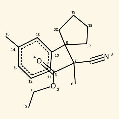 CCOC(=O)C(C)(C#N)C1(c2cccc(C)c2)CCCC1